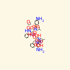 CC(C)CN(C[C@H](O[PH](O)(O)O[C@H](CN(CC(C)C)S(=O)(=O)c1ccc(N)cc1)[C@H](Cc1ccccc1)NC(=O)O[C@H]1CCOC1)[C@H](Cc1ccccc1)NC(=O)O)S(=O)(=O)c1ccc(N)cc1